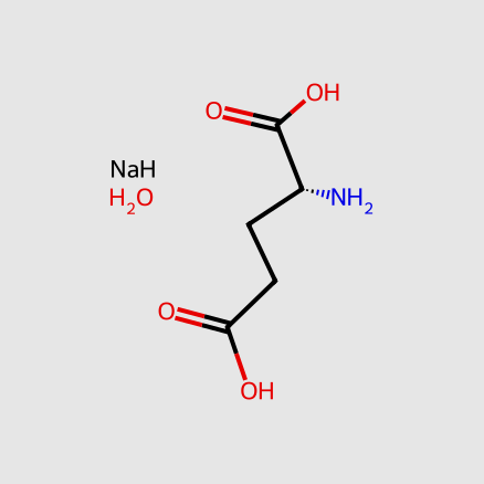 N[C@H](CCC(=O)O)C(=O)O.O.[NaH]